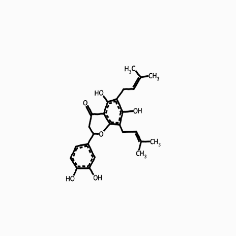 CC(C)=CCc1c(O)c(CC=C(C)C)c2c(c1O)C(=O)CC(c1ccc(O)c(O)c1)O2